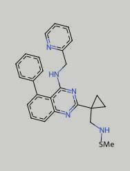 CSNCC1(c2nc(NCc3ccccn3)c3c(-c4ccccc4)cccc3n2)CC1